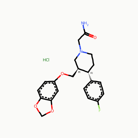 Cl.NC(=O)CN1CC[C@H](c2ccc(F)cc2)[C@@H](COc2ccc3c(c2)OCO3)C1